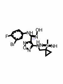 CS(=N)(=N)C1(CNc2nonc2/C(=N/O)Nc2ccc(F)c(Br)c2)CC1